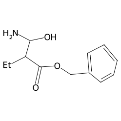 CCC(C(=O)OCc1ccccc1)C(N)O